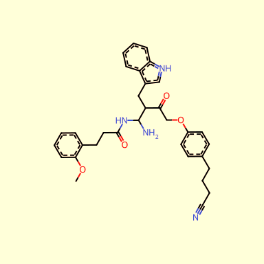 COc1ccccc1CCC(=O)NC(N)C(Cc1c[nH]c2ccccc12)C(=O)COc1ccc(CCCC#N)cc1